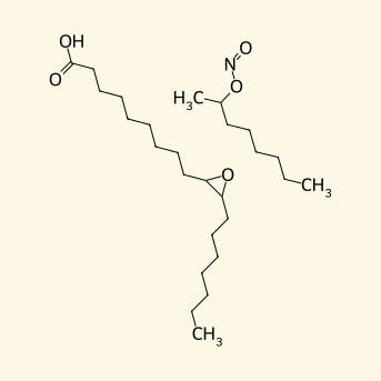 CCCCCCC(C)ON=O.CCCCCCCC1OC1CCCCCCCCC(=O)O